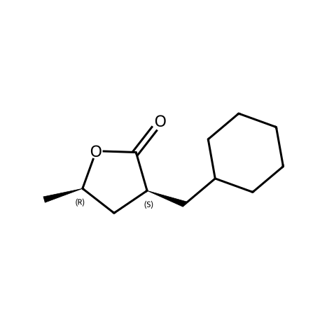 C[C@@H]1C[C@H](CC2CCCCC2)C(=O)O1